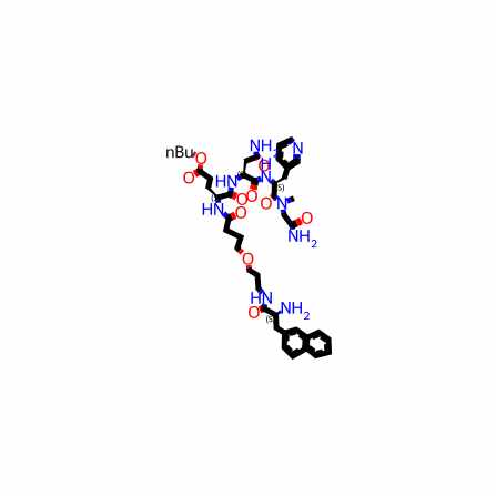 CCCCOC(=O)CC[C@H](NC(=O)CCCOCCCNC(=O)[C@@H](N)Cc1ccc2ccccc2c1)C(=O)N[C@@H](CC(N)=O)C(=O)N[C@@H](Cc1cccnc1)C(=O)N(C)CC(N)=O